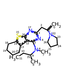 C=C(Cc1nc(N(C)[C@@H](C)CC)c2c3c(sc2n1)CCCC3)N1CCCC1